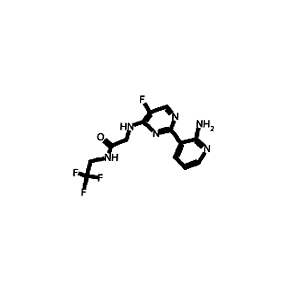 Nc1ncccc1-c1ncc(F)c(NCC(=O)NCC(F)(F)F)n1